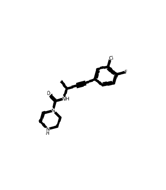 CC(C#Cc1ccc(F)c(Cl)c1)NC(=O)N1CCNCC1